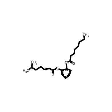 CCCCCCCC(=O)Oc1ccccc1OC(=O)CCCCC(C)C